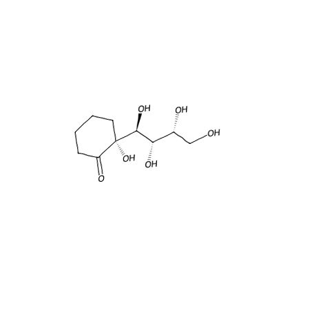 O=C1CCCC[C@@]1(O)[C@@H](O)[C@@H](O)[C@H](O)CO